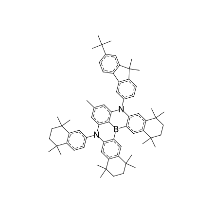 Cc1cc2c3c(c1)N(c1ccc4c(c1)C(C)(C)CCC4(C)C)c1cc4c(cc1B3c1cc3c(cc1N2c1ccc2c(c1)-c1ccc(C(C)(C)C)cc1C2(C)C)C(C)(C)CCC3(C)C)C(C)(C)CCC4(C)C